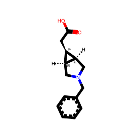 O=C(O)C[C@H]1[C@H]2CN(Cc3ccccc3)C[C@@H]12